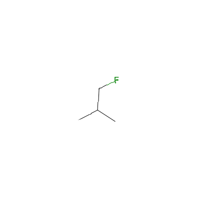 CC(C)CF